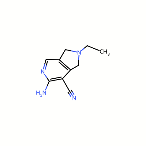 CCN1Cc2cnc(N)c(C#N)c2C1